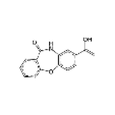 C=C(O)c1ccc2c(c1)NC(=O)c1ccccc1O2